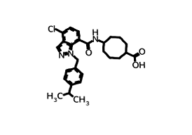 CC(C)c1ccc(Cn2ncc3c(Cl)ccc(C(=O)NC4CCCC(C(=O)O)CCC4)c32)cc1